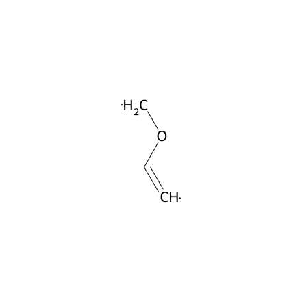 [CH]=CO[CH2]